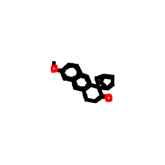 COc1ccc2cc3c(cc2c1)CCC(=O)C31CC2=CCC1C2